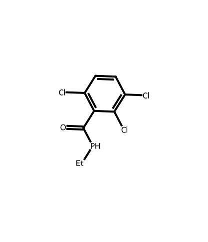 CCPC(=O)c1c(Cl)ccc(Cl)c1Cl